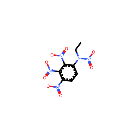 CCN(c1ccc([N+](=O)[O-])c([N+](=O)[O-])c1[N+](=O)[O-])[N+](=O)[O-]